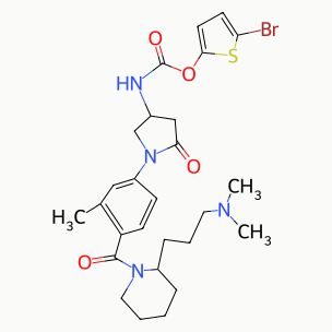 Cc1cc(N2CC(NC(=O)Oc3ccc(Br)s3)CC2=O)ccc1C(=O)N1CCCCC1CCCN(C)C